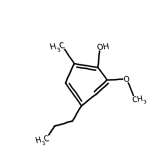 CCCc1cc(C)c(O)c(OC)c1